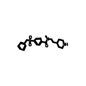 CN(CCC1CCNCC1)C(=O)c1ccc(S(=O)(=O)Cc2ccccc2)cc1